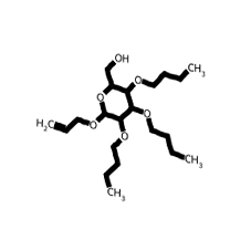 C=CCOC1OC(CO)C(OCCCC)C(OCCCC)C1OCCCC